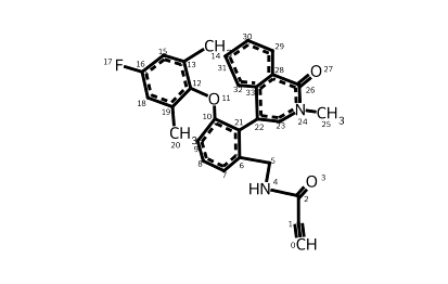 C#CC(=O)NCc1cccc(Oc2c(C)cc(F)cc2C)c1-c1cn(C)c(=O)c2ccccc12